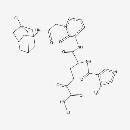 CCNC(=O)C(=O)CCC(NC(=O)c1cncn1C)C(=O)Nc1cccn(CC(=O)NC23CC4CC(CC(Cl)(C4)C2)C3)c1=O